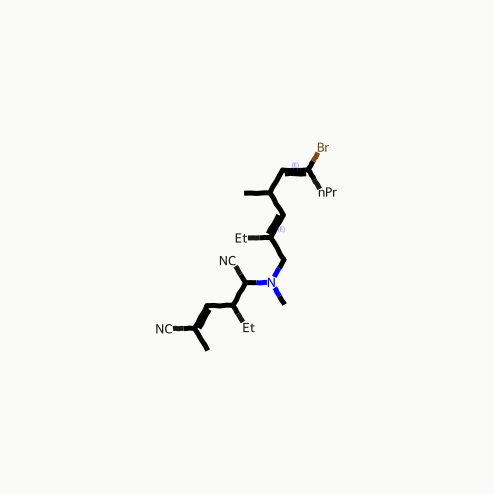 CCC/C(Br)=C\C(C)/C=C(\CC)CN(C)C(C#N)C(C=C(C)C#N)CC